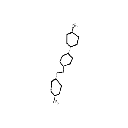 CCC[C@H]1CC[C@H](C2CCC(CC[C@H]3CC[C@H](C(F)(F)F)CC3)CC2)CC1